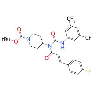 CC(C)(C)OC(=O)N1CCC(N(C(=O)C=Cc2ccc(F)cc2)C(=O)Nc2cc(C(F)(F)F)cc(C(F)(F)F)c2)CC1